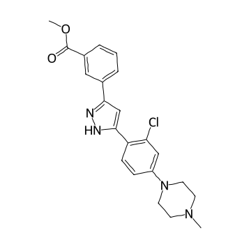 COC(=O)c1cccc(-c2cc(-c3ccc(N4CCN(C)CC4)cc3Cl)[nH]n2)c1